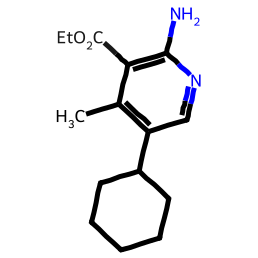 CCOC(=O)c1c(N)ncc(C2CCCCC2)c1C